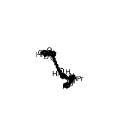 CC(C)c1cnn2c(NCc3ccc(NC(=O)CCCCCCCCOc4cccc5c4CN(C4CCC(=O)NC4=O)C5=O)cc3)nc(OC3CCN(C)CC3)nc12